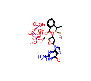 CCSSC(C)c1ccccc1C(=O)OC1C[C@H](n2cnc3c(=O)[nH]c(N)nc32)O[C@@H]1COP(=O)(O)OP(=O)(O)OP(=O)(O)O